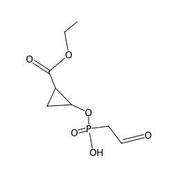 CCOC(=O)C1CC1OP(=O)(O)CC=O